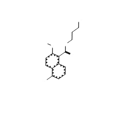 CCCCOC(=O)c1c(OC)ccc2c(Br)cccc12